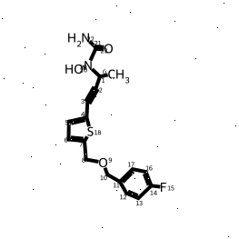 CC(C#Cc1ccc(COCc2ccc(F)cc2)s1)N(O)C(N)=O